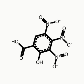 O=C(O)c1cc([N+](=O)[O-])c([N+](=O)[O-])c([N+](=O)[O-])c1O